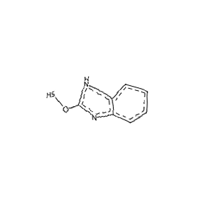 SOc1nc2ccccc2[nH]1